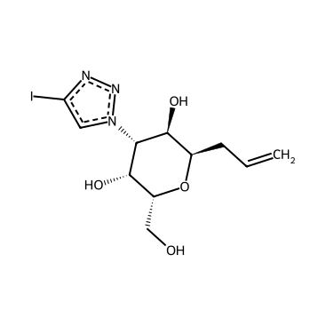 C=CC[C@H]1O[C@H](CO)[C@H](O)[C@H](n2cc(I)nn2)[C@H]1O